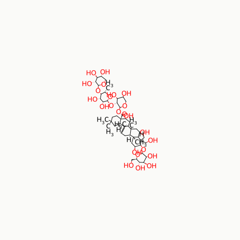 C[C@@H]1O[C@@H](O[C@H]2[C@H](OC(=O)[C@]34CCC(C)(C)C[C@H]3C3=CC[C@@H]5[C@@]6(C)C[C@H](O)[C@H](O[C@@H]7O[C@H](CO)[C@@H](O)[C@H](O)[C@H]7O)C(CO)(CO)[C@@H]6CC[C@@]5(C)[C@]3(C)C[C@H]4O)OC[C@H](O)[C@@H]2O)[C@H](O)[C@H](O)[C@H]1O[C@@H]1OC[C@@H](O)[C@H](O)[C@H]1O